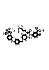 CCCCN(C(=O)Nc1ccc(F)c(C(=O)O)c1)C1CCN(Cc2ccc(Oc3ccc(NS(C)(=O)=O)cc3)cc2)CC1.Cl